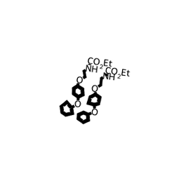 CCOC(=O)NCCOc1ccc(Oc2ccccc2)cc1.CCOC(=O)NCCOc1ccc(Oc2ccccc2)cc1